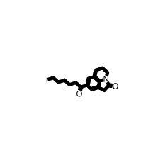 O=C(CCCCCI)c1cc2c3c(c1)CC(=O)N3CCC2